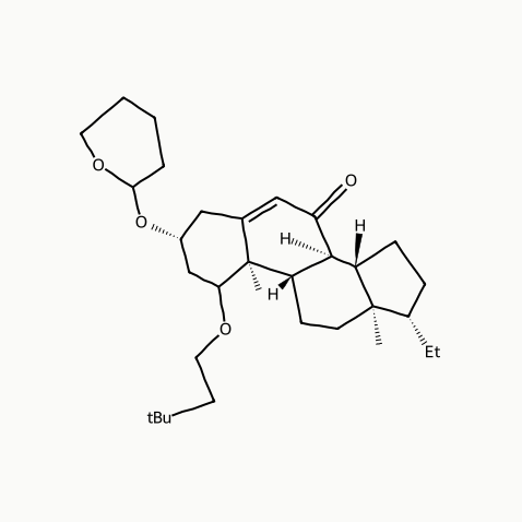 CC[C@H]1CC[C@H]2[C@@H]3C(=O)C=C4C[C@@H](OC5CCCCO5)CC(OCCC(C)(C)C)[C@]4(C)[C@H]3CC[C@]12C